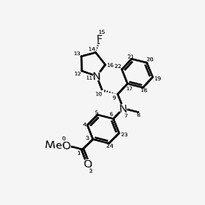 COC(=O)c1ccc(N(C)[C@H](CN2CC[C@H](F)C2)c2ccccc2)cc1